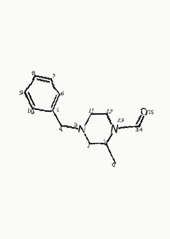 CC1CN(Cc2ccccc2)CCN1C=O